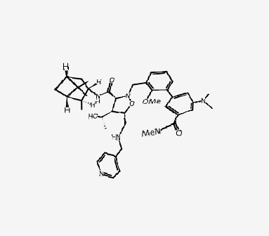 CNC(=O)c1cc(-c2cccc(CN3O[C@@H](CNCc4ccncc4)[C@@H]([C@H](C)O)[C@H]3C(=O)N[C@H]3C[C@H]4C[C@@H]([C@@H]3C)C4(C)C)c2OC)cc(N(C)C)c1